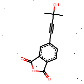 CC(C)(O)C#Cc1ccc2c(c1)C(=O)OC2=O